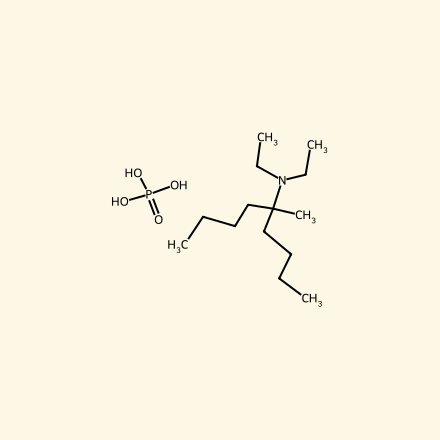 CCCCC(C)(CCCC)N(CC)CC.O=P(O)(O)O